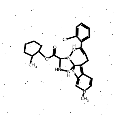 CC1CCCCC1OC(=O)C1NNC23SC4=CN(C)C=CC4=C2CC=C(c2ccccc2Cl)NN13